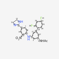 CC(=O)Nc1cc(Nc2ccc(C3=NCCN3)cc2[N+](=O)[O-])cc(-c2ccc(F)cc2F)c1